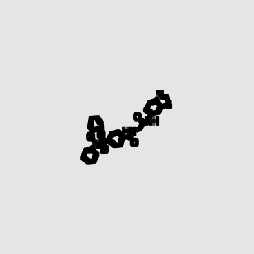 O=C(CNC(=O)c1ccc(S(=O)(=O)N(Oc2ccccc2)c2ccccc2)cc1)Nc1ccc2ncsc2c1